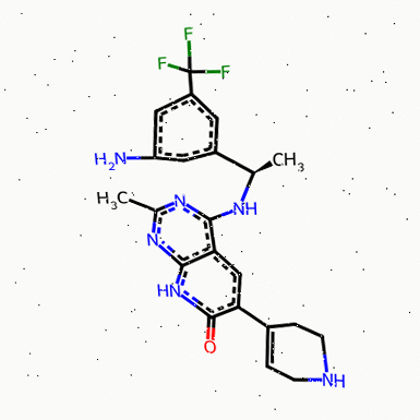 Cc1nc(N[C@H](C)c2cc(N)cc(C(F)(F)F)c2)c2cc(C3=CCNCC3)c(=O)[nH]c2n1